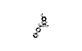 COc1ccc2nc(OC)c(NC(=O)N3CCN(c4ncccn4)CC3)nc2c1